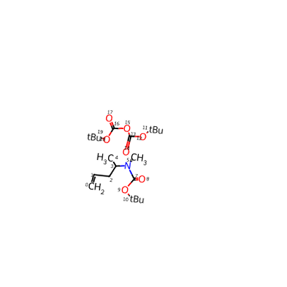 C=CCC(C)N(C)C(=O)OC(C)(C)C.CC(C)(C)OC(=O)OC(=O)OC(C)(C)C